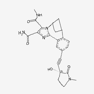 CNC(=O)c1c(C(N)=O)nc2n1C1CC(C1)c1ccc(C#C[C@]3(O)CCN(C)C3=O)cc1-2